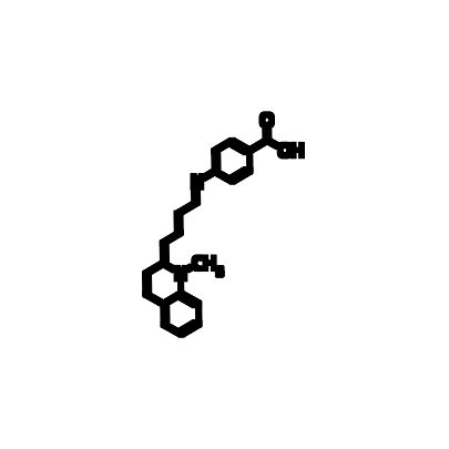 CN1C(=CC=CC=Nc2ccc(C(=O)O)cc2)C=Cc2ccccc21